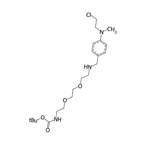 CN(CCCl)c1ccc(CNCCOCCOCCNC(=O)OC(C)(C)C)cc1